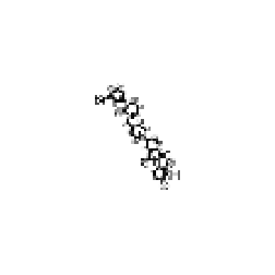 O=C1CCC(N2C(=O)c3ccc(N4CCC(CN5CCCN(c6cccc(Br)c6)C5=O)CC4)cc3C2=O)C(=O)N1